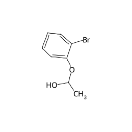 CC(O)Oc1ccccc1Br